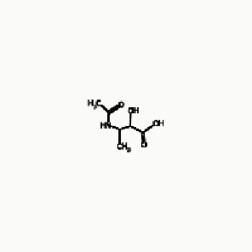 CC(=O)NC(C)C(O)C(=O)O